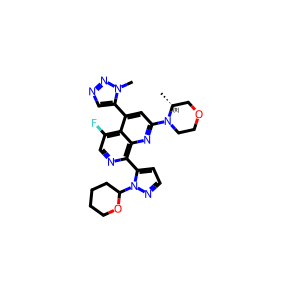 C[C@@H]1COCCN1c1cc(-c2cnnn2C)c2c(F)cnc(-c3ccnn3C3CCCCO3)c2n1